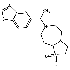 CC(c1ccc2scnc2c1)N1CCC2CCS(=O)(=O)N2CC1